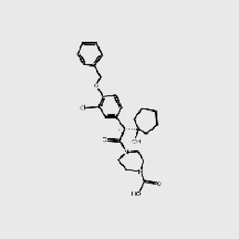 O=C(O)N1CCN(C(=O)[C@H](c2ccc(OCc3ccccc3)c(Cl)c2)C2(O)CCCCC2)CC1